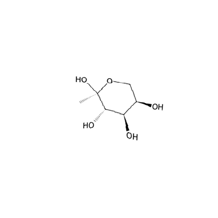 C[C@]1(O)OC[C@@H](O)[C@@H](O)[C@@H]1O